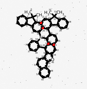 CC1(C)c2ccccc2-c2cc(N(c3ccccc3-c3cccc4c3-c3ccccc3C4(C)C)c3ccccc3-c3cccc4oc5c6ccccc6ccc5c34)ccc21